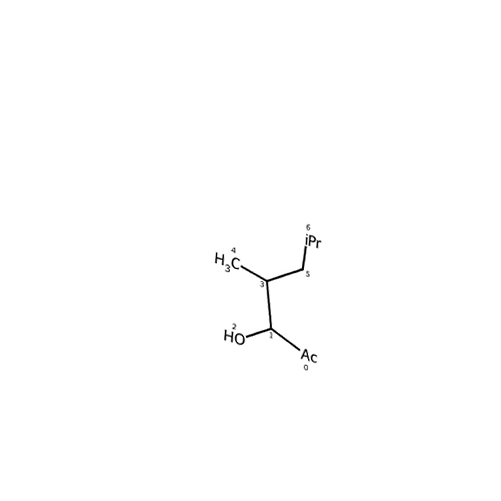 CC(=O)C(O)C(C)CC(C)C